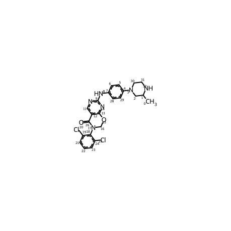 CC1CN(c2ccc(Nc3ncc4c(n3)OCN(c3c(Cl)cccc3Cl)C4=O)cc2)CCN1